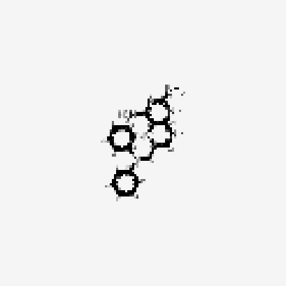 Nc1nc(N)c2nc(CN(c3ccccc3)c3ccccc3)cnc2n1